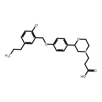 CCCc1ccc(Cl)c(COc2ccc(C3CN(CCC(=O)O)CCO3)cc2)c1